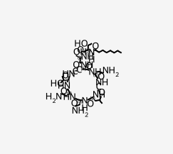 CCCCCCCC(=O)N[C@H](C(=O)N[C@H](CO)C(=O)N[C@H]1CCNC(=O)[C@H](C(C)O)NC(=O)[C@H](CCN)NC(=O)[C@H](CCN)NC(=O)[C@H](CC(C)C)NC(=O)CNC(=O)[C@H](CCN)NC1=O)C(C)O